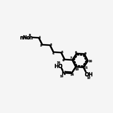 CCCCCCCCCCCCCCCc1cccc(O)c1/C=N\O